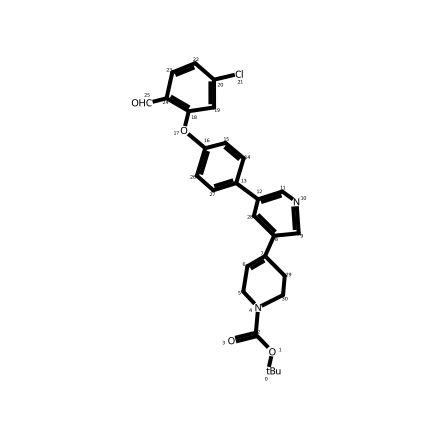 CC(C)(C)OC(=O)N1CC=C(c2cncc(-c3ccc(Oc4cc(Cl)ccc4C=O)cc3)c2)CC1